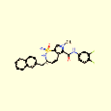 Cn1cc2c(c1C(=O)Nc1ccc(F)c(F)c1)C=C[C@@H](Cc1ccc3ccccc3c1)NS2(=N)=O